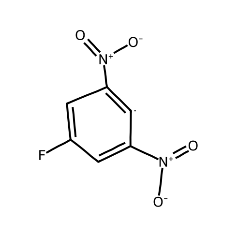 O=[N+]([O-])c1[c]c([N+](=O)[O-])cc(F)c1